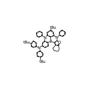 CC(C)(C)c1ccc(N(c2ccc(C(C)(C)C)cc2)c2ccc3c(c2)N(c2ccccc2)c2cc(C(C)(C)C)cc4c2B3c2c(oc3c2CCCC3)N4c2ccccc2)cc1